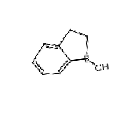 OB1CCc2ccccc21